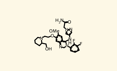 COc1cc2c(cc1OCCN1CCCCC1CO)=NCN(c1cccc(F)c1F)C=2Nc1cnn(CC(N)=O)c1